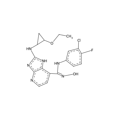 CCOC1CC1Nc1nc2nccc(/C(=N/O)Nc3ccc(F)c(Cl)c3)c2[nH]1